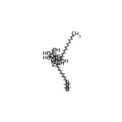 CCCCCCCCCCCCCC[C@@H](O)[C@@H](O)[C@H](COC1OC(CO)C(O)C(O)C1O)N[C@@H](CCCCCCCCCCN1CC2(COC2)C1)C(F)(F)F